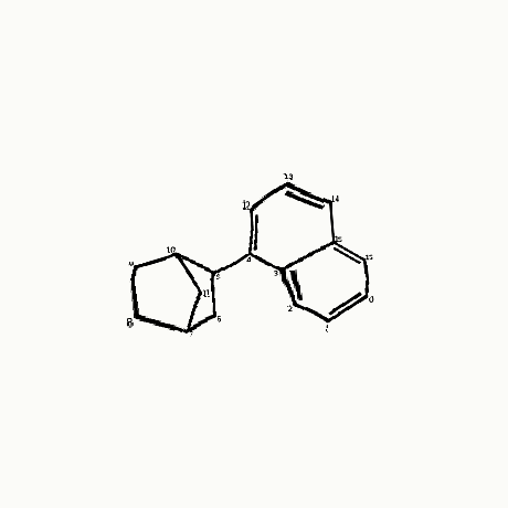 c1ccc2c(C3CC4CCC3C4)cccc2c1